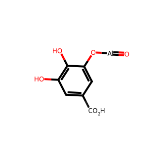 [O]=[Al][O]c1cc(C(=O)O)cc(O)c1O